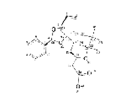 C=C[C@@H]1O[C@H](c2ccccc2)O[C@]1(C)CC[C@H](CC(=O)O)O[Si](C)(C)C(C)(C)C